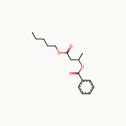 CCCCCOC(=O)CC(C)OC(=O)c1ccccc1